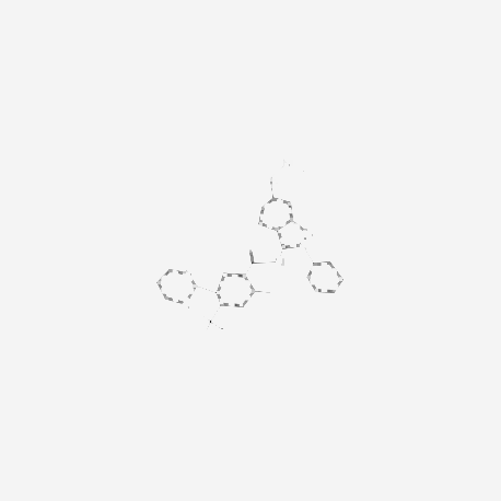 C[C@H](N)c1ccc2c(NC(=O)c3cc(-c4ncccn4)c(C(F)(F)F)cc3F)n(-c3ccccc3)nc2c1